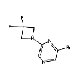 FC1(F)CN(c2cncc(Br)n2)C1